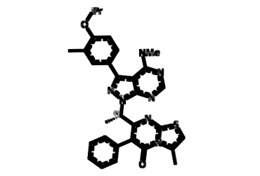 CNc1ncnc2c1c(-c1ccc(OC(C)C)c(C)c1)nn2[C@@H](C)c1nc2scc(C)n2c(=O)c1-c1ccccc1